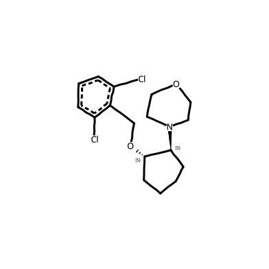 Clc1cccc(Cl)c1CO[C@H]1CCCC[C@@H]1N1CCOCC1